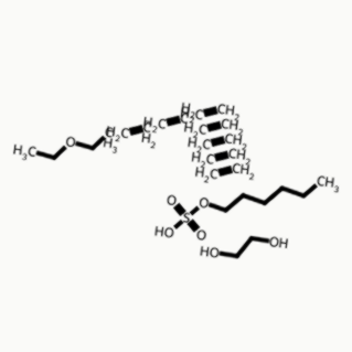 C=C.C=C.C=C.C=C.C=C.C=C.C=C.CCCCCCOS(=O)(=O)O.CCOCC.OCCO